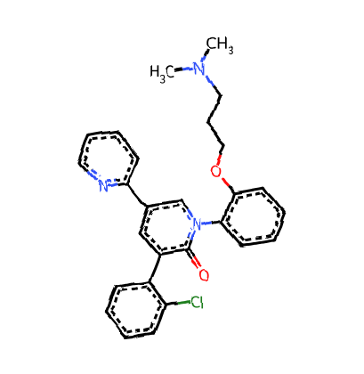 CN(C)CCCOc1ccccc1-n1cc(-c2ccccn2)cc(-c2ccccc2Cl)c1=O